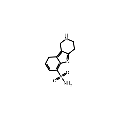 NS(=O)(=O)C1=C2N=C3CCNCC3=C2CC=C1